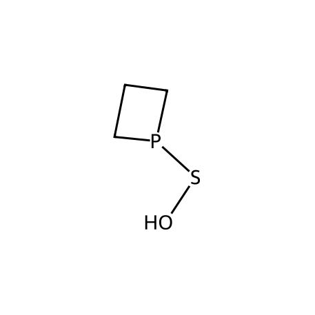 OSP1CCC1